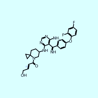 N=C(c1ccc(Oc2ccc(F)cc2F)cc1)c1c(N)ncnc1NC1CCC2(CC2)N(C(=O)/C=C/CO)C1